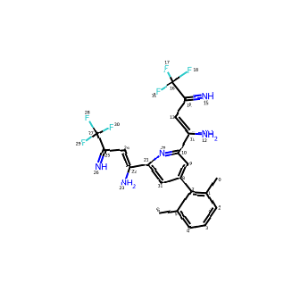 Cc1cccc(C)c1-c1cc(/C(N)=C/C(=N)C(F)(F)F)nc(/C(N)=C/C(=N)C(F)(F)F)c1